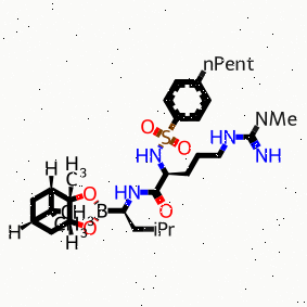 CCCCCc1ccc(S(=O)(=O)N[C@@H](CCCNC(=N)NC)C(=O)N[C@@H](CC(C)C)B2O[C@@H]3C[C@@H]4C[C@@H](C4(C)C)[C@]3(C)O2)cc1